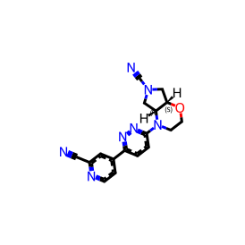 N#Cc1cc(-c2ccc(N3CCO[C@H]4CN(C#N)C[C@H]43)nn2)ccn1